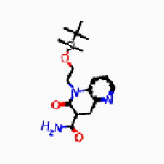 CC(C)(C)[Si](C)(C)OCCN1C(=O)C(C(N)=O)Cc2ncccc21